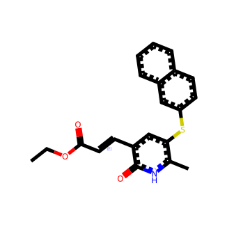 CCOC(=O)/C=C/c1cc(Sc2ccc3ccccc3c2)c(C)[nH]c1=O